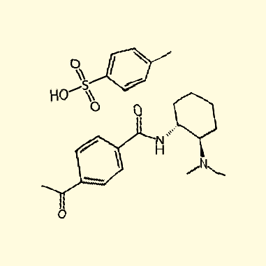 CC(=O)c1ccc(C(=O)N[C@@H]2CCCC[C@H]2N(C)C)cc1.Cc1ccc(S(=O)(=O)O)cc1